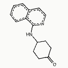 O=C1CCC(Nc2nccc3ccccc23)CC1